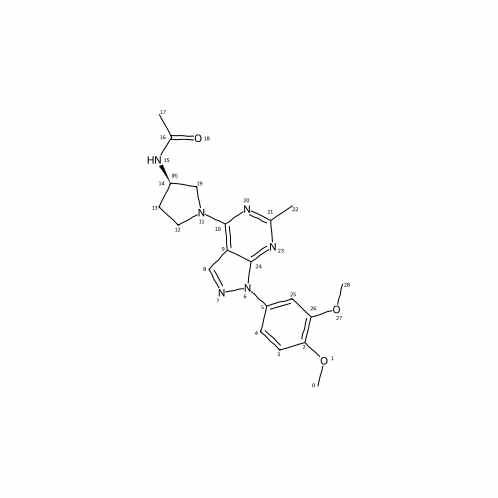 COc1ccc(-n2ncc3c(N4CC[C@@H](NC(C)=O)C4)nc(C)nc32)cc1OC